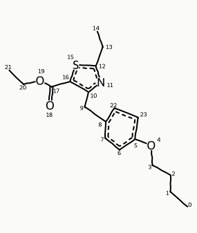 CCCCOc1ccc(Cc2nc(CC)sc2C(=O)OCC)cc1